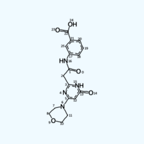 O=C(Cc1nc(N2CCOCC2)cc(=O)[nH]1)Nc1cccc(C(=O)O)c1